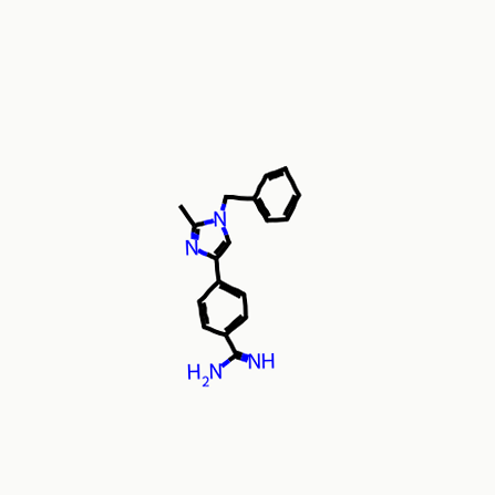 Cc1nc(-c2ccc(C(=N)N)cc2)cn1Cc1ccccc1